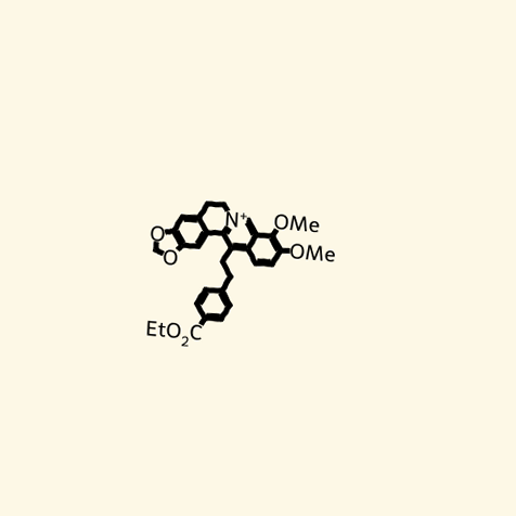 CCOC(=O)c1ccc(CCc2c3[n+](cc4c(OC)c(OC)ccc24)CCc2cc4c(cc2-3)OCO4)cc1